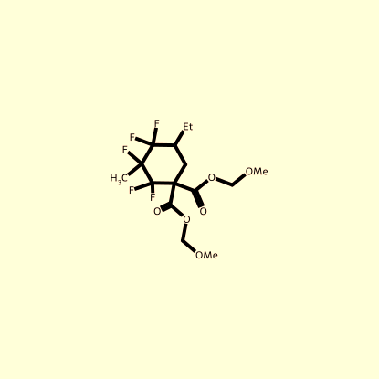 CCC1CC(C(=O)OCOC)(C(=O)OCOC)C(F)(F)C(C)(F)C1(F)F